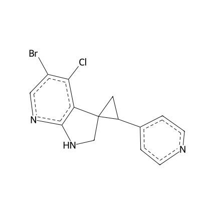 Clc1c(Br)cnc2c1C1(CN2)CC1c1ccncc1